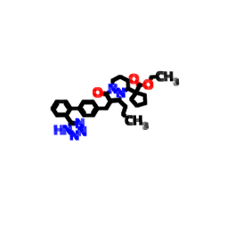 CCCc1c(Cc2ccc(-c3ccccc3-c3nnn[nH]3)cc2)c(=O)n2n1C(C1(C(=O)OCC)CCCC1)CCC2